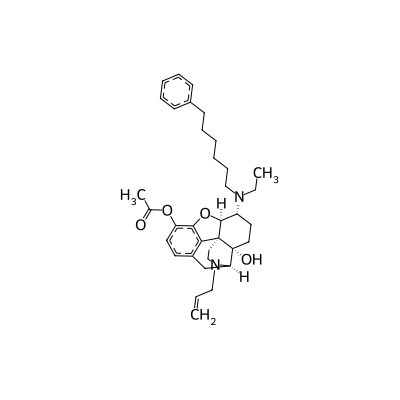 C=CCN1CC[C@]23c4c5ccc(OC(C)=O)c4O[C@H]2[C@H](N(CC)CCCCCCc2ccccc2)CC[C@@]3(O)[C@H]1C5